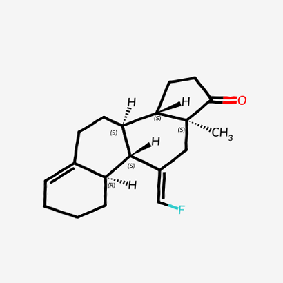 C[C@]12CC(=CF)[C@H]3[C@@H](CCC4=CCCC[C@@H]43)[C@@H]1CCC2=O